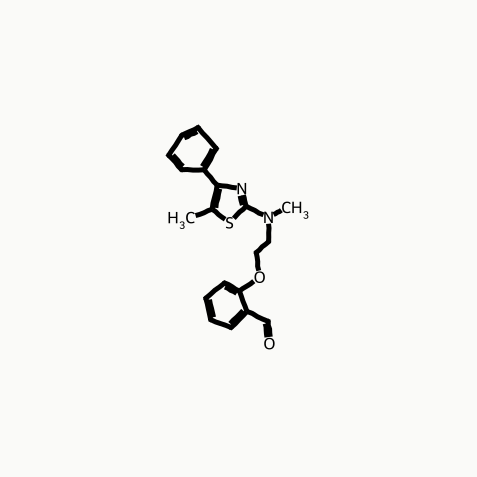 Cc1sc(N(C)CCOc2ccccc2C=O)nc1-c1ccccc1